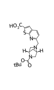 CC(C)(C)OC(=O)N1C[C@@H]2C[C@H]1CN2Cc1ccc2cc(C(=O)O)sc2n1